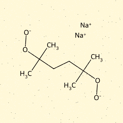 CC(C)(CCC(C)(C)O[O-])O[O-].[Na+].[Na+]